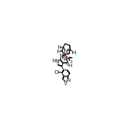 [2H][C@@H]1c2c(-c3ccc4nn(C)cc4c3Cl)c[nH]c2N=C(N2[C@@H]3CC[C@H]2[C@H](F)[C@H](N)C3)N1C